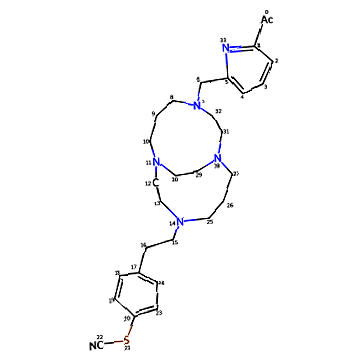 CC(=O)c1cccc(CN2CCCN3CCN(CCc4ccc(SC#N)cc4)CCCN(CC3)CC2)n1